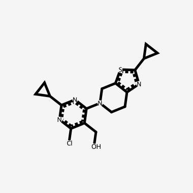 OCc1c(Cl)nc(C2CC2)nc1N1CCc2nc(C3CC3)sc2C1